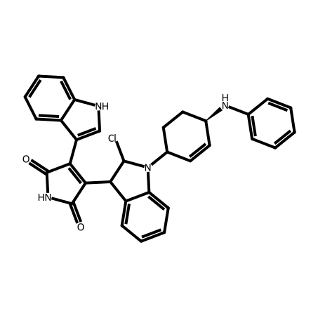 O=C1NC(=O)C(C2c3ccccc3N(C3C=C[C@H](Nc4ccccc4)CC3)C2Cl)=C1c1c[nH]c2ccccc12